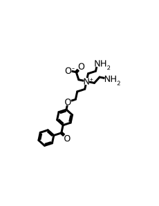 NCC[N+](CCN)(CCCOc1ccc(C(=O)c2ccccc2)cc1)CC(=O)[O-]